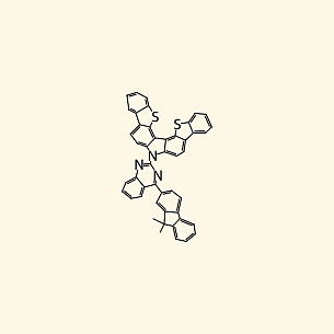 CC1(C)c2ccccc2-c2ccc(-c3nc(-n4c5ccc6c7ccccc7sc6c5c5c6sc7ccccc7c6ccc54)nc4ccccc34)cc21